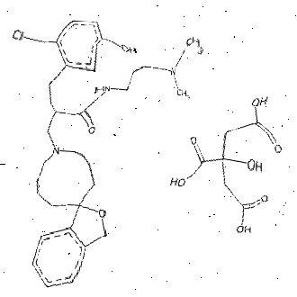 CN(C)CCNC(=O)C(Cc1cc(O)ccc1Cl)CN1CCC2(CC1)OCc1ccccc12.O=C(O)CC(O)(CC(=O)O)C(=O)O